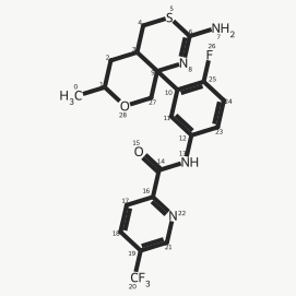 CC1CC2CSC(N)=NC2(c2cc(NC(=O)c3ccc(C(F)(F)F)cn3)ccc2F)CO1